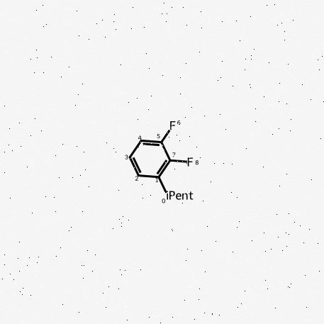 [CH2]C(CCC)c1cccc(F)c1F